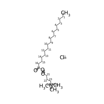 CCCCCCCCCCCCCCCCCC(=O)OOCCC[N+](C)(C)C.[Cl-]